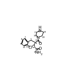 NC(=O)OC(Cc1ccccc1Cl)C(=O)N1CCNCC1